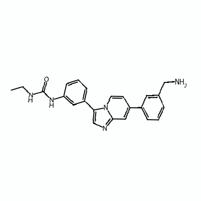 CCNC(=O)Nc1cccc(-c2cnc3cc(-c4cccc(CN)c4)ccn23)c1